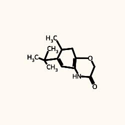 CC1CC2=C(C=C1C(C)(C)C)NC(=O)CO2